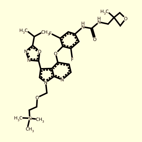 CC(C)c1nnc(-c2cn(COCC[Si](C)(C)C)c3nccc(Oc4c(F)cc(NC(=O)NCC5(C)COC5)cc4F)c23)o1